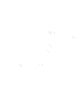 CNC(=O)c1c2cc(C3CC3)c(C3CN(Cc4ccccc4)CC3C(C)=O)cc2nn1-c1ccc(Br)cc1